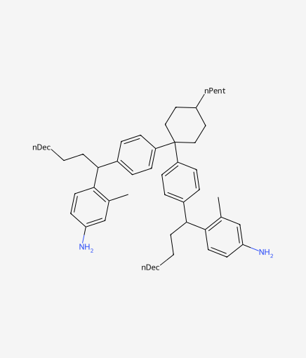 CCCCCCCCCCCCC(c1ccc(C2(c3ccc(C(CCCCCCCCCCCC)c4ccc(N)cc4C)cc3)CCC(CCCCC)CC2)cc1)c1ccc(N)cc1C